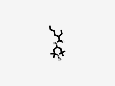 CCCCC(CC)C(=O)NC1CC(C)(C)N(O)C(C)(C)C1